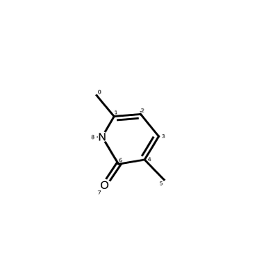 CC1=[C]C=C(C)C(=O)[N]1